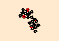 c1ccc(-c2c3c4c5c6ccccc6n(-c6cccc(-c7cccc8c7c7cc9c%10ccccc%10n(-c%10ccccc%10)c9c9c%10c(-c%11ccccc%11)c%11c(c(-c%12ccccc%12)c%10n8c79)c7c8c(cc9c%10ccccc%10n%11c97)c7ccccc7n8-c7ccccc7)c6)c5cc5c6ccccc6n(c3c(-c3ccccc3)c3c6c7c8ccccc8n(-c8ccccc8)c7cc7c8ccccc8n(c23)c76)c54)cc1